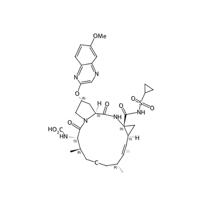 COc1ccc2nc(O[C@@H]3C[C@H]4C(=O)N[C@]5(C(=O)NS(=O)(=O)C6CC6)C[C@H]5/C=C\[C@H](C)CCC[C@@H](C)[C@H](NC(=O)O)C(=O)N4C3)cnc2c1